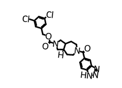 O=C(OCc1cc(Cl)cc(Cl)c1)N1CC2CCN(C(=O)c3ccc4[nH]nnc4c3)CC[C@@H]2C1